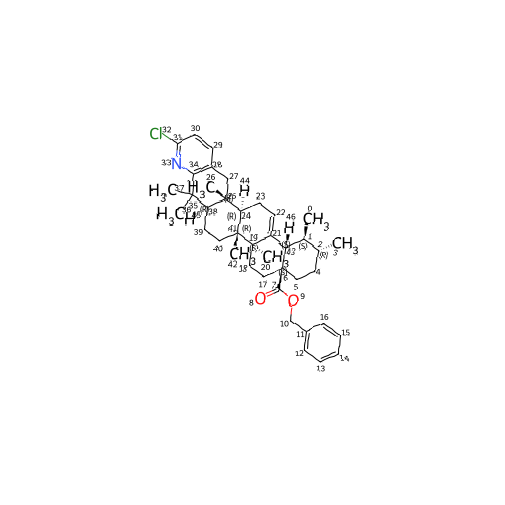 C[C@H]1[C@H](C)CC[C@]2(C(=O)OCc3ccccc3)CC[C@]3(C)C(=CC[C@@H]4[C@@]5(C)Cc6ccc(Cl)nc6C(C)(C)[C@@H]5CC[C@]43C)[C@H]12